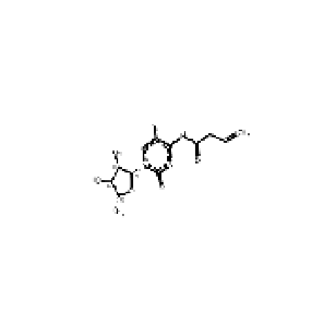 C=CCC(=O)Nc1nc(=O)n([C@@H]2O[C@H](C)[C@@H](O)[C@H]2O)cc1F